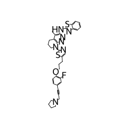 Cc1c(Nc2nc3ccccc3s2)nnc2c1CCCN2c1ncc(CCCOc2ccc(C#CCN3CCCC3)cc2F)s1